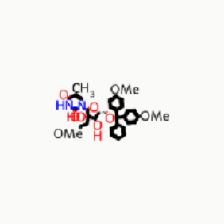 COCC[C@@]1(O)[C@H](O)[C@@H](COC(c2ccccc2)(c2ccc(OC)cc2)c2ccc(OC)cc2)O[C@H]1n1cc(C)c(=O)[nH]c1=O